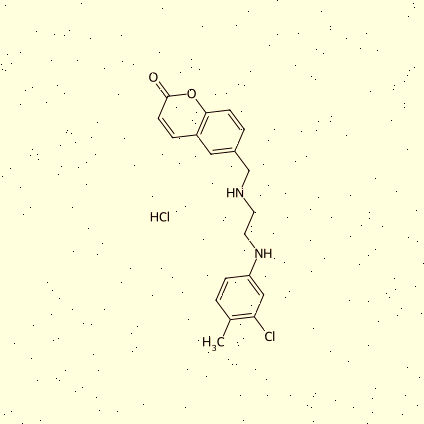 Cc1ccc(NCCNCc2ccc3oc(=O)ccc3c2)cc1Cl.Cl